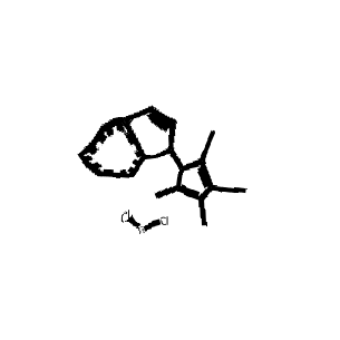 CC1=C(C)C(C)=C(C)[C]1C1C=Cc2ccccc21.[Cl][Ti][Cl]